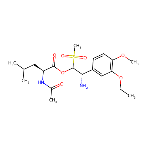 CCOc1cc([C@H](N)C(OC(=O)[C@H](CC(C)C)NC(C)=O)S(C)(=O)=O)ccc1OC